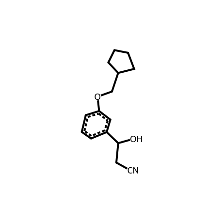 N#CCC(O)c1cccc(OCC2CCCC2)c1